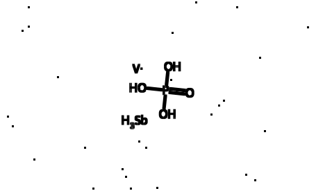 O=P(O)(O)O.[SbH3].[V]